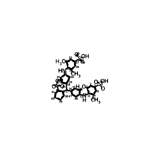 Cc1cc(S(=O)(=O)O)cc(C)c1Nc1ccc(C(c2ccc(Nc3c(C)cc(S(=O)(=O)O)cc3C)cc2)c2ccccc2S(=O)(=O)O)cc1